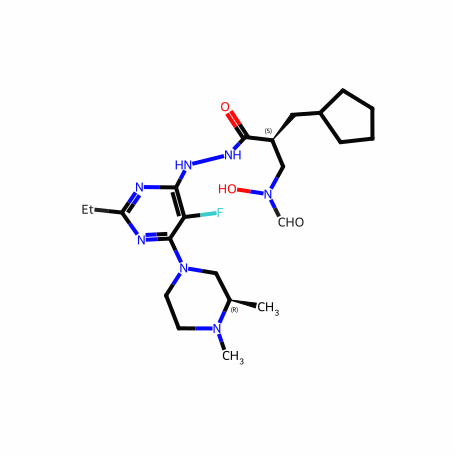 CCc1nc(NNC(=O)[C@@H](CC2CCCC2)CN(O)C=O)c(F)c(N2CCN(C)[C@H](C)C2)n1